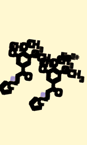 COc1cc(C(=O)/C=C/[c-]2cccc2)cc(OC)c1OC.COc1cc(C(=O)/C=C/[c-]2cccc2)cc(OC)c1OC.[Fe+2]